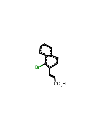 O=C(O)/C=C/c1ccc2ccccc2c1Br